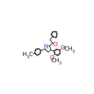 COc1ccc(OC)c(C2CC(c3ccc(C)cc3)=NC2C(=O)Cc2ccccc2)c1